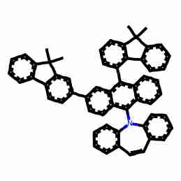 CC1(C)c2ccccc2-c2ccc(-c3ccc4c(N5c6ccccc6C=Cc6ccccc65)c5ccccc5c(-c5cccc6c5-c5ccccc5C6(C)C)c4c3)cc21